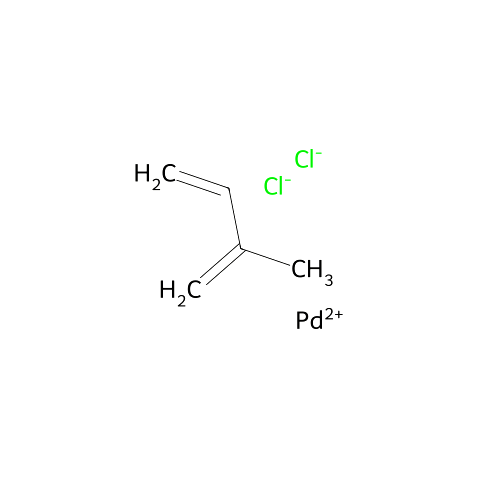 C=CC(=C)C.[Cl-].[Cl-].[Pd+2]